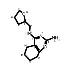 Nc1nc2c(c(NCC3CCCO3)n1)CCCC2